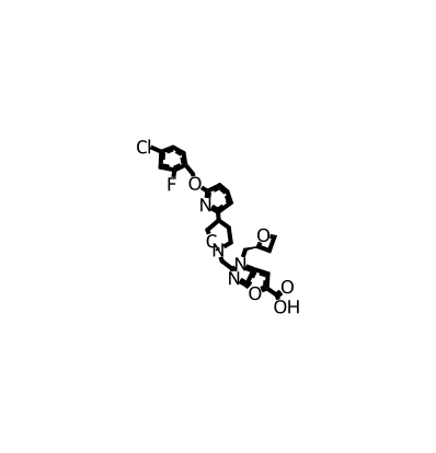 O=C(O)c1cc2c(nc(CN3CCC(c4cccc(OCc5ccc(Cl)cc5F)n4)CC3)n2C[C@@H]2CCO2)o1